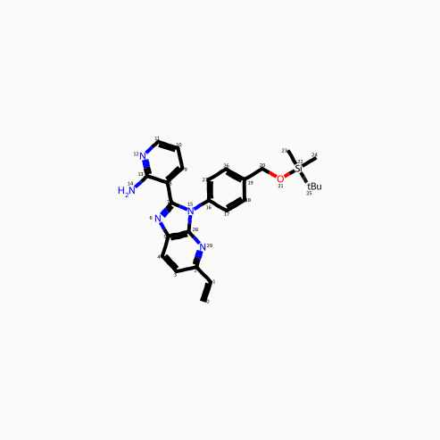 C=Cc1ccc2nc(-c3cccnc3N)n(-c3ccc(CO[Si](C)(C)C(C)(C)C)cc3)c2n1